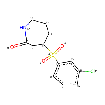 O=C1CC(S(=O)(=O)c2cccc(Cl)c2)CCCN1